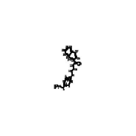 CC(C)CN1CC2CC1CN2CCCCC(=O)c1ccc2ccccc2c1